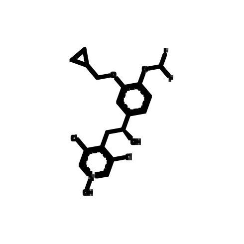 O[C@@H](Cc1c(Cl)c[n+](O)cc1Cl)c1ccc(OC(F)F)c(OCC2CC2)c1